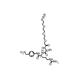 CC(C)[C@H](NC(=O)COCCOCCOCCN=[N+]=[N-])C(=O)N[C@@H](CCCNC(N)=O)C(=O)Nc1ccc(CN)cc1